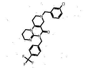 O=C1C2=C(CCN(Cc3cccc(Cl)c3)C2)N2CCCN=C2N1Cc1ccc(C(F)(F)F)cc1